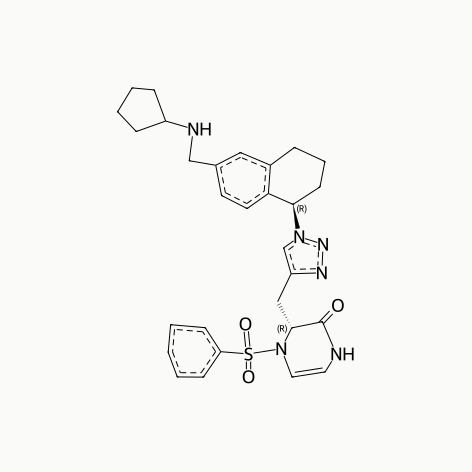 O=C1NC=CN(S(=O)(=O)c2ccccc2)[C@@H]1Cc1cn([C@@H]2CCCc3cc(CNC4CCCC4)ccc32)nn1